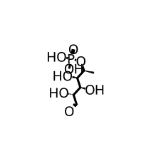 C[C@H](OP(=O)(O)O)[C@H](O)[C@@H](O)[C@@H](O)C=O